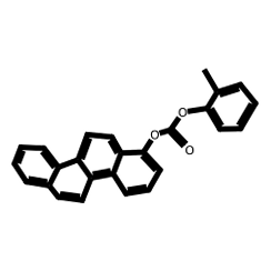 Cc1ccccc1OC(=O)Oc1cccc2c1ccc1c3ccccc3ccc21